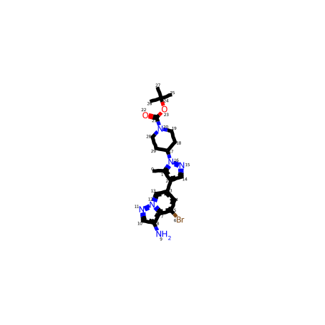 Cc1c(-c2cc(Br)c3c(N)cnn3c2)cnn1C1CCN(C(=O)OC(C)(C)C)CC1